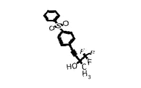 CC(O)(C#Cc1ccc(S(=O)(=O)c2ccccc2)cc1)C(F)(F)F